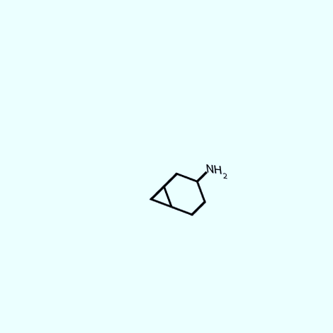 NC1CCC2CC2C1